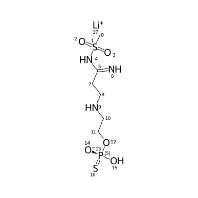 CS(=O)(=O)NC(=N)CCNCCO[P@]([O-])(O)=S.[Li+]